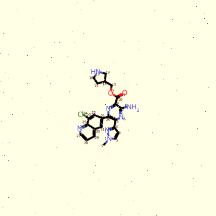 Cn1ccc(-c2nc(N)c(C(=O)OCC3CCNC3)nc2-c2cc(Cl)c3ncccc3c2)n1